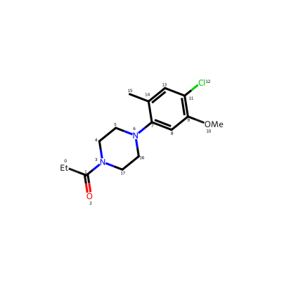 CCC(=O)N1CCN(c2cc(OC)c(Cl)cc2C)CC1